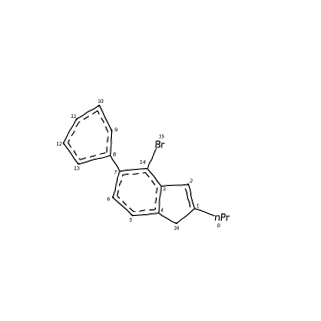 CCCC1=Cc2c(ccc(-c3ccccc3)c2Br)C1